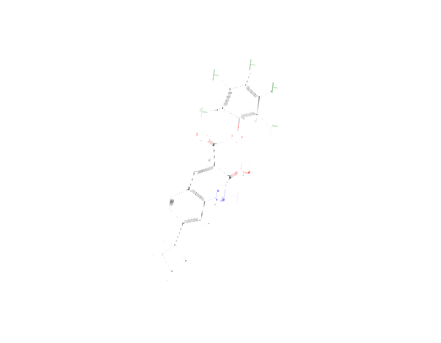 O=C(Oc1c(F)c(F)c(F)c(F)c1F)c1cc2ccc(C3CCC3)cc2[nH]c1=O